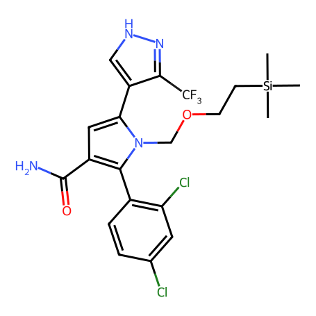 C[Si](C)(C)CCOCn1c(-c2c[nH]nc2C(F)(F)F)cc(C(N)=O)c1-c1ccc(Cl)cc1Cl